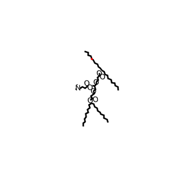 CCCCCCCCCCC(CCCCCCCCCC)OC(=O)CCOCC(COCCC(=O)OC(CCCCCCCCCC)CCCCCCCCCC)COC(=O)CCCN(C)C